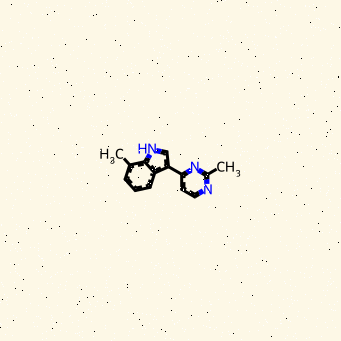 Cc1nccc(-c2c[nH]c3c(C)cccc23)n1